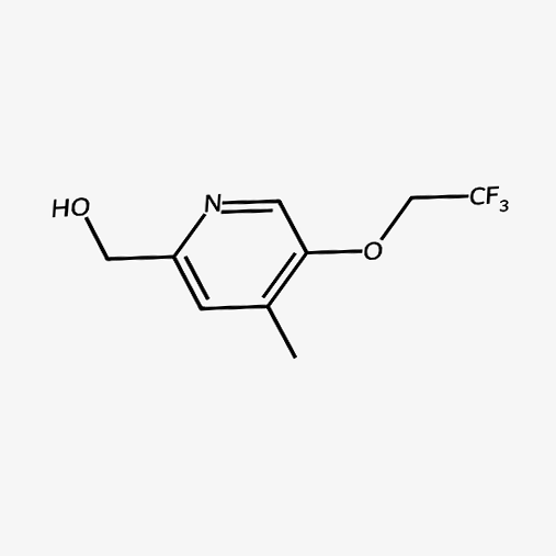 Cc1cc(CO)ncc1OCC(F)(F)F